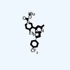 CCC1CCN(C(=O)OC(C)(C)C)CC1c1cc(C)nc2cc([C@H]3CC[C@H](C(F)(F)F)CC3)nn12